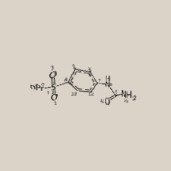 CCCS(=O)(=O)c1ccc(NC(N)=O)cc1